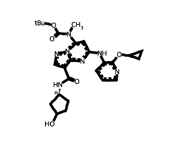 CN(C(=O)OC(C)(C)C)c1cc(Nc2cccnc2OC2CC2)nc2c(C(=O)N[C@@H]3CCC(O)C3)cnn12